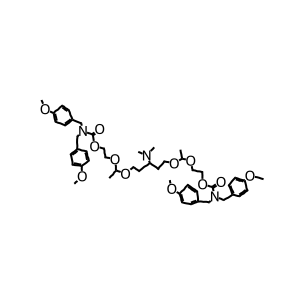 COc1ccc(CN(Cc2ccc(OC)cc2)C(=O)OCCOC(C)OCCC(CCOC(C)OCCOC(=O)N(Cc2ccc(OC)cc2)Cc2ccc(OC)cc2)N(C)C)cc1